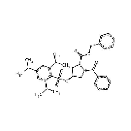 CC(C)c1cc(C(C)C)c(S(=O)(=O)O[C@H]2C[C@@H](C(=O)OCc3ccccc3)N(C(=O)c3ccccc3)C2)c(C(C)C)c1